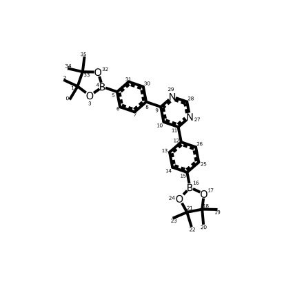 CC1(C)OB(c2ccc(-c3cc(-c4ccc(B5OC(C)(C)C(C)(C)O5)cc4)ncn3)cc2)OC1(C)C